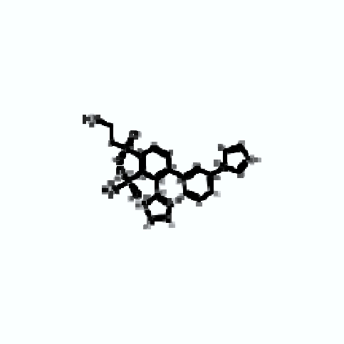 NCCS(=O)(=O)c1ccc(-c2cccc(-n3ccnc3)c2)c(-c2nnn[nH]2)c1S(N)(=O)=O